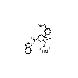 COc1cccc(C2(O)CCN(C(=O)Cn3ccc4ccccc43)CC2CN(C)C)c1.Cl